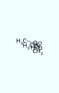 CCCCCCC(OC(=O)c1ccccc1C(=O)O)C(C)CCCC